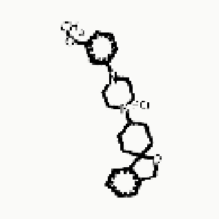 COc1cccc(N2CCN(C3CCC4(CC3)OCc3ccccc34)CC2)c1.Cl